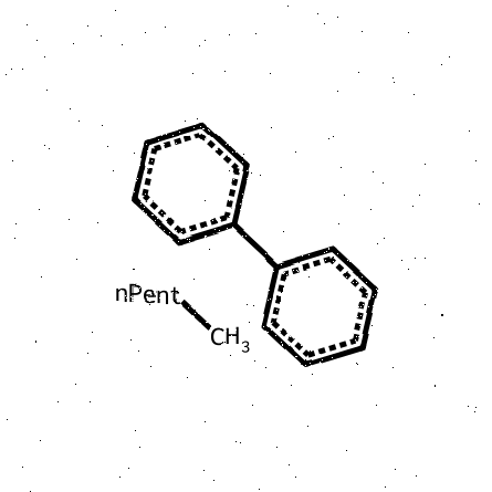 CCCCCC.c1ccc(-c2ccccc2)cc1